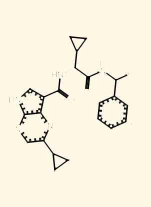 CC(NC(=O)[C@H](NC(=O)c1c[nH]c2ncc(C3CC3)nc12)C1CC1)c1ccccc1